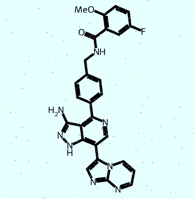 COc1ccc(F)cc1C(=O)NCc1ccc(-c2ncc(-c3cnc4ncccn34)c3[nH]nc(N)c23)cc1